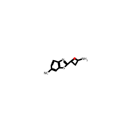 N#Cc1ccc2nc(C34CC(N)(C3)C4)sc2c1